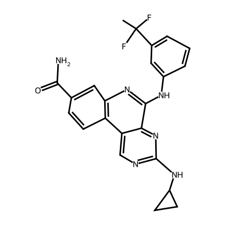 CC(F)(F)c1cccc(Nc2nc3cc(C(N)=O)ccc3c3cnc(NC4CC4)nc23)c1